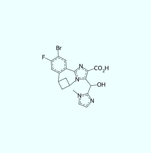 Cn1ccnc1C(O)c1c(C(=O)O)nc2n1C1CC(C1)c1cc(F)c(Br)cc1-2